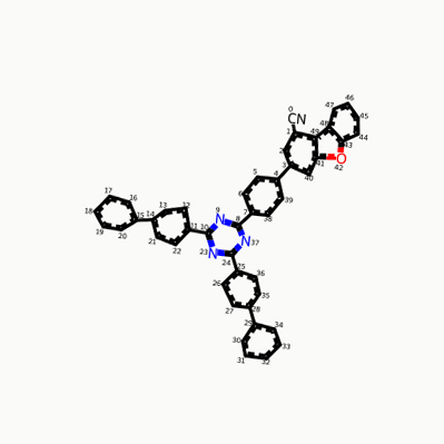 N#Cc1cc(-c2ccc(-c3nc(-c4ccc(-c5ccccc5)cc4)nc(-c4ccc(-c5ccccc5)cc4)n3)cc2)cc2oc3ccccc3c12